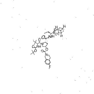 CC[C@H](NC(=O)[C@@H]1C[C@@H](OC(=O)N2CCc3cc(F)ccc3C2)CN1C(=O)[C@@H](NC(=O)OC(C)(C)C)C(C)(C)C)B1O[C@@H]2C[C@@H]3C[C@@H](C3(C)C)[C@]2(C)O1